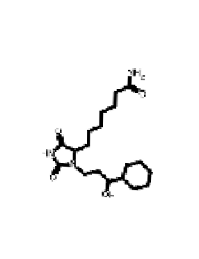 NC(=O)CCCCCCC1C(=O)NC(=O)N1CCC(O)C1CCCCC1